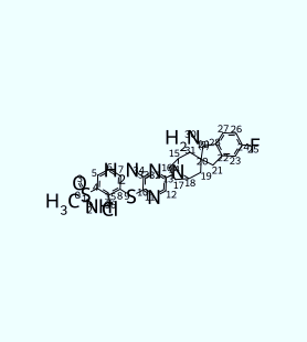 CS(=N)(=O)c1cccc(Sc2ncc(N3C4CCC3CC3(Cc5cc(F)ccc5[C@H]3N)C4)nc2N)c1Cl